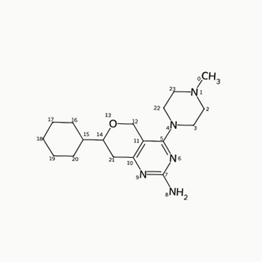 CN1CCN(c2nc(N)nc3c2COC(C2CCCCC2)C3)CC1